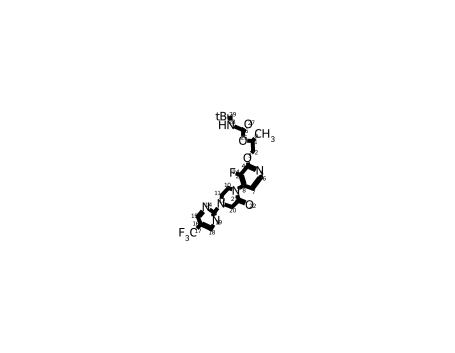 CC(COc1nccc(N2CCN(c3ncc(C(F)(F)F)cn3)CC2=O)c1F)OC(=O)NC(C)(C)C